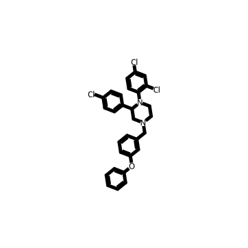 Clc1ccc(C2CN(Cc3cccc(Oc4ccccc4)c3)CCN2c2ccc(Cl)cc2Cl)cc1